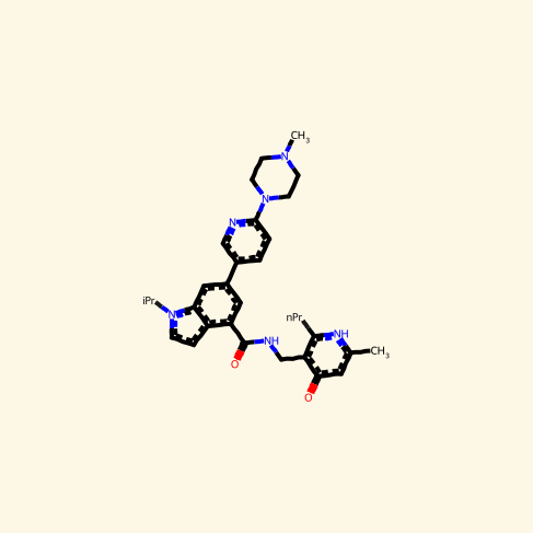 CCCc1[nH]c(C)cc(=O)c1CNC(=O)c1cc(-c2ccc(N3CCN(C)CC3)nc2)cc2c1ccn2C(C)C